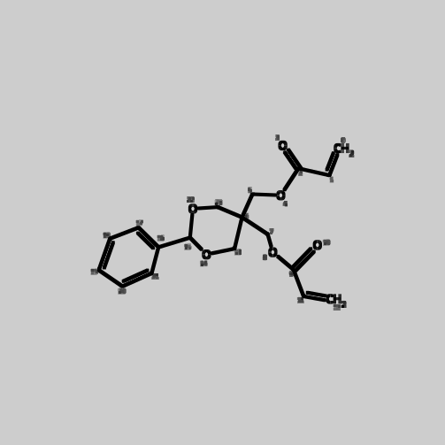 C=CC(=O)OCC1(COC(=O)C=C)COC(c2ccccc2)OC1